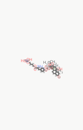 CC1(C)O[C@@H]2CC3C4CCC5=CC(=O)C=C[C@]5(C)[C@@]4(F)[C@@H](O)C[C@]3(C)[C@]2(C(=O)COC(=O)Oc2ccc(C[C@H](N)C(=O)OCCCCON(O)O)cc2)O1